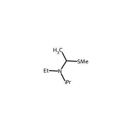 CCN(C(C)C)C(C)SC